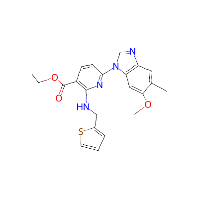 CCOC(=O)c1ccc(-n2cnc3cc(C)c(OC)cc32)nc1NCc1cccs1